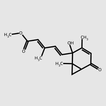 COC(=O)/C=C(C)/C=C/C1(O)C(C)=CC(=O)C2CC21C